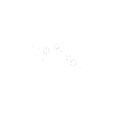 COc1cc(Cc2csc(N3CCN(S(=O)(=O)c4ccc(Cl)cc4)CC3)n2)cc(OC)c1OC